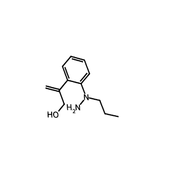 C=C(CO)c1ccccc1N(N)CCC